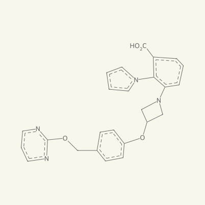 O=C(O)c1cccc(N2CC(Oc3ccc(COc4ncccn4)cc3)C2)c1-n1cccc1